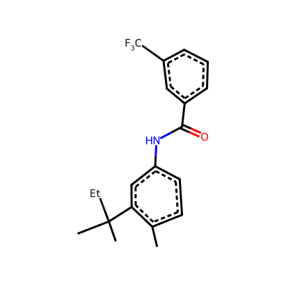 CCC(C)(C)c1cc(NC(=O)c2cccc(C(F)(F)F)c2)ccc1C